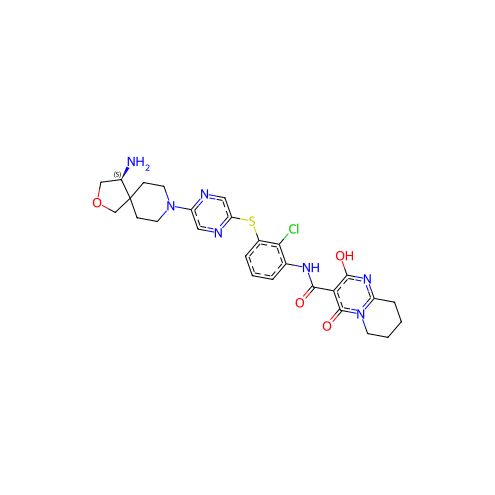 N[C@@H]1COCC12CCN(c1cnc(Sc3cccc(NC(=O)c4c(O)nc5n(c4=O)CCCC5)c3Cl)cn1)CC2